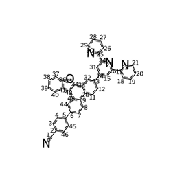 N#Cc1ccc(-c2ccc3c4ccc(-c5cc(-c6ccccn6)nc(-c6ccccn6)c5)cc4c4oc5ccccc5c4c3c2)cc1